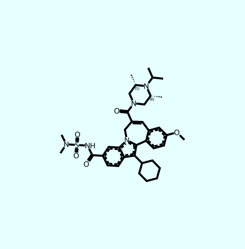 COc1ccc2c(c1)C=C(C(=O)N1C[C@@H](C)N(C(C)C)[C@@H](C)C1)Cn1c-2c(C2CCCCC2)c2ccc(C(=O)NS(=O)(=O)N(C)C)cc21